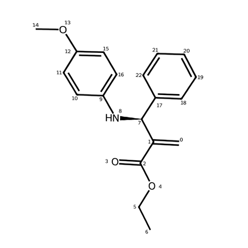 C=C(C(=O)OCC)[C@@H](Nc1ccc(OC)cc1)c1ccccc1